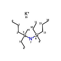 CCC[Si](C)(CC)[N-][Si](C)(CC)CCC.[K+]